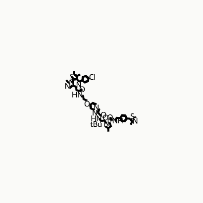 Cc1ncsc1-c1ccc(CNC(=O)[C@@H]2CC(C)CN2C(=O)[C@@H](NC(=O)c2cn3ccc(OCCCNC(=O)CC4N=C(c5ccc(Cl)cc5)c5c(sc(C)c5C)-n5c4cnc5C)cc3n2)C(C)(C)C)cc1